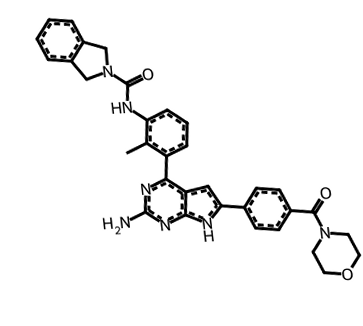 Cc1c(NC(=O)N2Cc3ccccc3C2)cccc1-c1nc(N)nc2[nH]c(-c3ccc(C(=O)N4CCOCC4)cc3)cc12